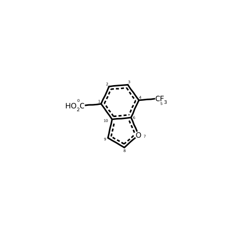 O=C(O)c1ccc(C(F)(F)F)c2occc12